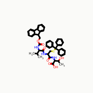 CC(C)C(NC(=O)OCC1c2ccccc2-c2ccccc21)C(=O)NC(CSC(c1ccccc1)(c1ccccc1)c1ccccc1)C(=O)NC(C(=O)O)C(C)O